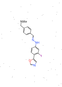 CNCc1ccc(/C=N/Nc2ccc(-c3cnco3)c(I)c2)cc1